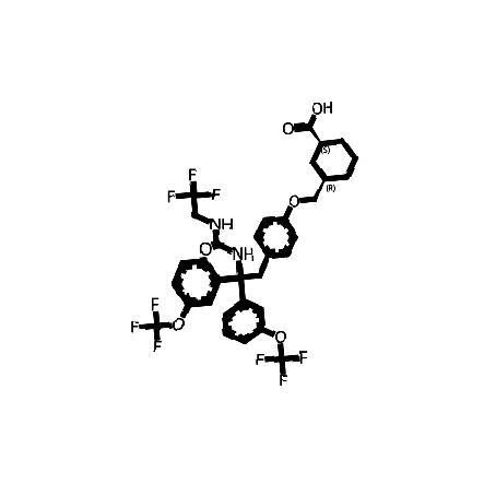 O=C(NCC(F)(F)F)NC(Cc1ccc(OC[C@@H]2CCC[C@H](C(=O)O)C2)cc1)(c1cccc(OC(F)(F)F)c1)c1cccc(OC(F)(F)F)c1